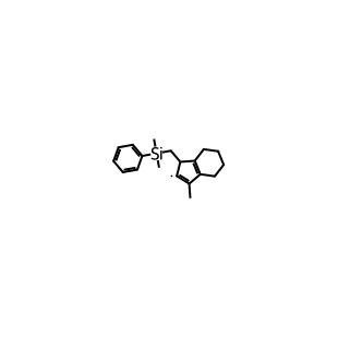 CC1=[C]C(C[Si](C)(C)c2ccccc2)C2=C1CCCC2